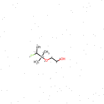 CCCC(F)[Si](C)(C)OCCO